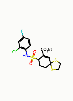 CCOC(=O)C1=CC2(CCC1S(=O)(=O)Nc1ccc(F)cc1Cl)SCCS2